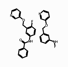 FNc1cccc(COc2cccnc2)c1.O=C(Nc1ccc(F)c(COc2cccnc2)c1)c1ccccc1